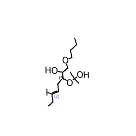 CCCCOCC(O)[C@H](C/C=C(\I)CC)OC(C)(C)O